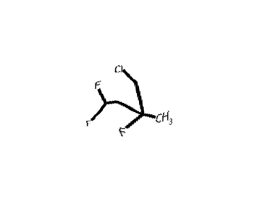 CC(F)(CCl)C(F)F